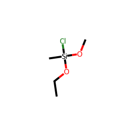 CCO[Si](C)(Cl)OC